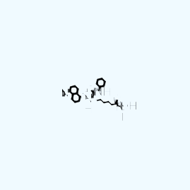 CN(C)c1cccc2c(SN[C@@H](CCCCCC(=O)NO)C(=O)Nc3ccccc3)cccc12